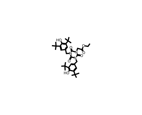 CCOC(=O)Cn1c(=O)n(Cc2cc(C(C)(C)C)c(O)c(C(C)(C)C)c2)c(=O)n(Cc2cc(C(C)(C)C)c(O)c(C(C)(C)C)c2)c1=O